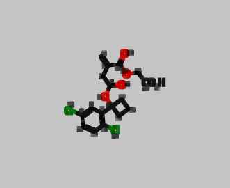 C=C(CC(=O)OC1(c2cc(Cl)ccc2Cl)CCC1)C(=O)OCC(=O)O